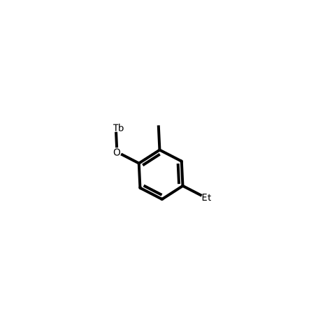 CCc1ccc([O][Tb])c(C)c1